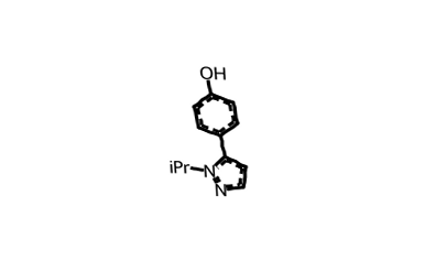 CC(C)n1nccc1-c1ccc(O)cc1